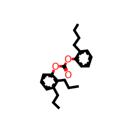 CCCCc1ccccc1OC(=O)Oc1cccc(CCC)c1CCC